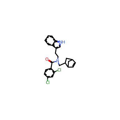 O=C(c1ccc(Cl)cc1Cl)N(CCc1c[nH]c2ccccc12)CC1CC2C=CC1C2